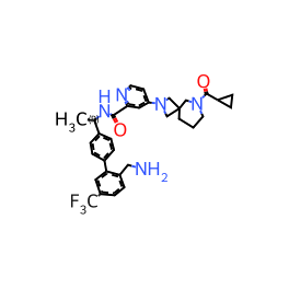 C[C@@H](NC(=O)c1cc(N2CC3(CCCN(C(=O)C4CC4)C3)C2)ccn1)c1ccc(-c2cc(C(F)(F)F)ccc2CN)cc1